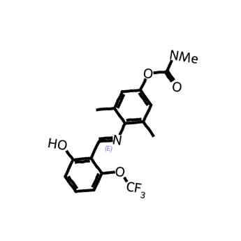 CNC(=O)Oc1cc(C)c(/N=C/c2c(O)cccc2OC(F)(F)F)c(C)c1